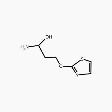 NC(O)CCOc1nccs1